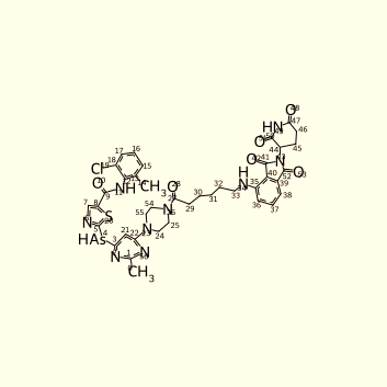 Cc1nc([AsH]c2ncc(C(=O)Nc3c(C)cccc3Cl)s2)cc(N2CCN(C(=O)CCCCCNc3cccc4c3C(=O)N(C3CCC(=O)NC3=O)C4=O)CC2)n1